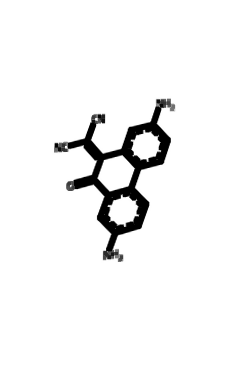 N#CC(C#N)=C1C(=O)c2cc(N)ccc2-c2ccc(N)cc21